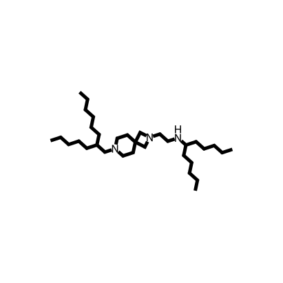 CCCCCCC(CCCCC)CN1CCC2(CC1)CN(CCNC(CCCCC)CCCCC)C2